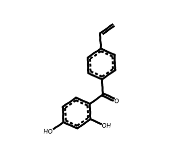 C=Cc1ccc(C(=O)c2ccc(O)cc2O)cc1